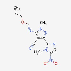 C=CCOC=Nc1c(C#N)c(-c2ncc([N+](=O)[O-])n2C)nn1C